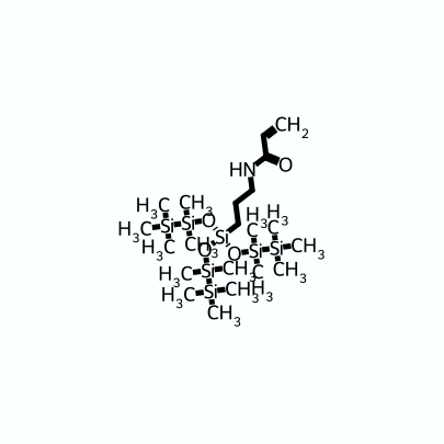 C=CC(=O)NCCC[Si](O[Si](C)(C)[Si](C)(C)C)(O[Si](C)(C)[Si](C)(C)C)O[Si](C)(C)[Si](C)(C)C